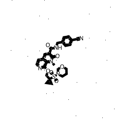 Cn1c(=O)c(C(=O)NCc2ccc(C#N)cc2)cc2ccnc(OCC3(S(=O)(=O)N4CCCOC4)CC3)c21